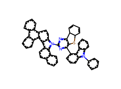 C1=CC2Sc3c(-c4cccc5c4c4ccccc4n5-c4ccccc4)nc(-n4c5ccc6c7ccccc7c7ccccc7c6c5c5ccc6ccccc6c54)nc3C2C=C1